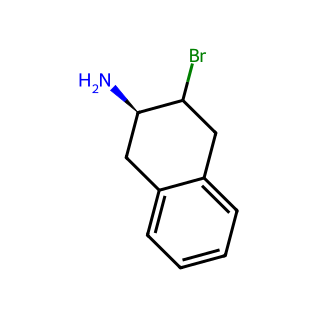 N[C@@H]1Cc2ccccc2CC1Br